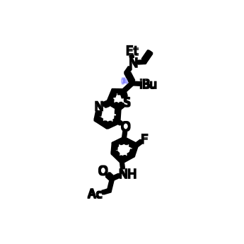 C=CN(/C=C(/c1cc2nccc(Oc3ccc(NC(=O)CC(C)=O)cc3F)c2s1)C(C)CC)CC